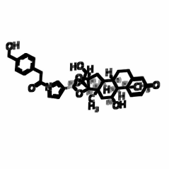 C[C@]12C=CC(=O)C=C1CC[C@@H]1[C@@H]2[C@@H](O)C[C@@]2(C)[C@H]1C[C@H]1O[C@@H](c3ccn(C(=O)Cc4ccc(CO)cc4)c3)O[C@]12C(=O)CO